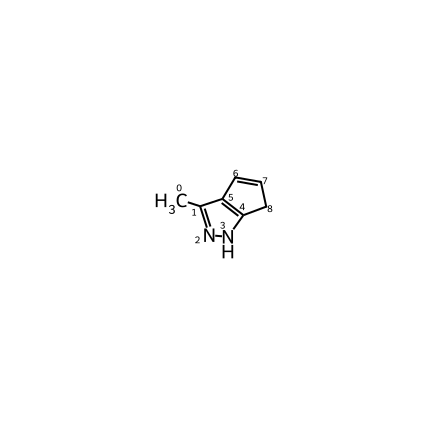 Cc1n[nH]c2c1C=CC2